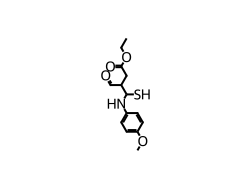 CCOC(=O)CC(C=O)C(S)Nc1ccc(OC)cc1